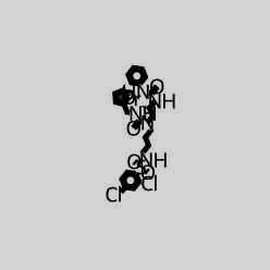 CC(C)C[C@@H](CN(CCCCNS(=O)(=O)c1ccc(Cl)cc1Cl)C(=O)NCc1ccco1)NC(=O)Nc1ccccc1